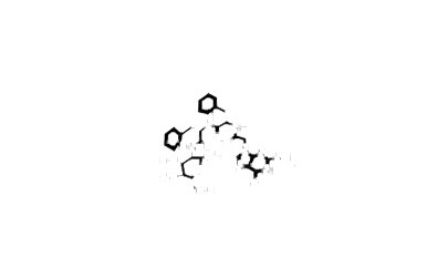 Nc1nc2c(ncn2CC(=O)N[C@@H](Cc2ccccc2)C(=O)N[C@@H](Cc2ccccc2)C(=O)N[C@@H]2[C@@H](O)[C@H](O)[C@@H](CO)O[C@H]2O)c(=O)[nH]1